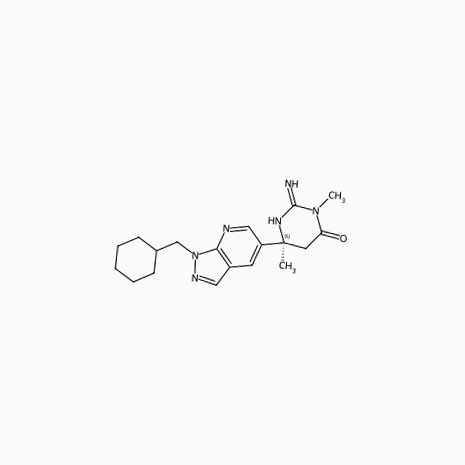 CN1C(=N)N[C@](C)(c2cnc3c(cnn3CC3CCCCC3)c2)CC1=O